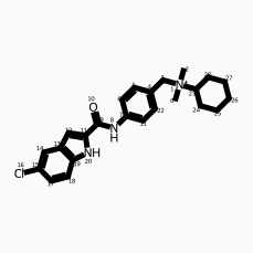 C[N+](C)(Cc1ccc(NC(=O)c2cc3cc(Cl)ccc3[nH]2)cc1)C1CCCCC1